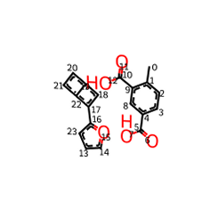 Cc1ccc(C(=O)O)cc1C(=O)O.c1coc(-c2cc3ccc2-3)c1